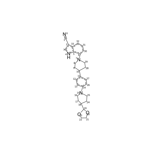 N#Cc1c[nH]c2c(N3CCC(c4ccc(N5CCC(C6OCCO6)CC5)cc4)CC3)cccc12